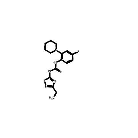 CCc1nsc(NC(=O)Nc2ccc(F)cc2N2CCCCC2)n1